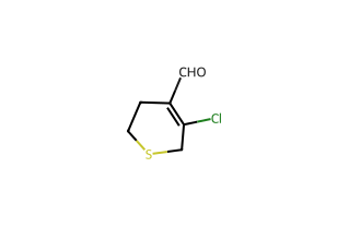 O=CC1=C(Cl)CSCC1